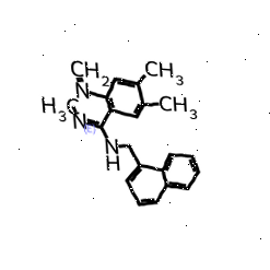 C=Nc1cc(C)c(C)cc1/C(=N\C)NCc1cccc2ccccc12